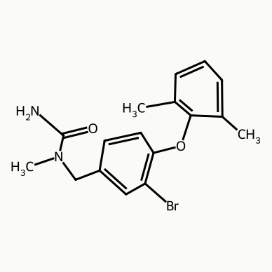 Cc1cccc(C)c1Oc1ccc(CN(C)C(N)=O)cc1Br